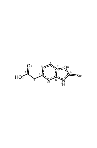 O=C(O)Cc1ccc2oc(=S)[nH]c2c1